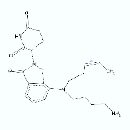 C/C=C\CCN(CCCCN)c1cccc2c1CN(C1CCC(=O)NC1=O)C2=O